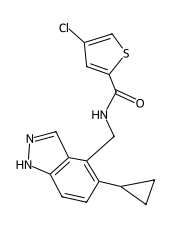 O=C(NCc1c(C2CC2)ccc2[nH]ncc12)c1cc(Cl)cs1